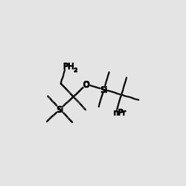 CCCC(C)(C)[Si](C)(C)OC(C)(CP)[Si](C)(C)C